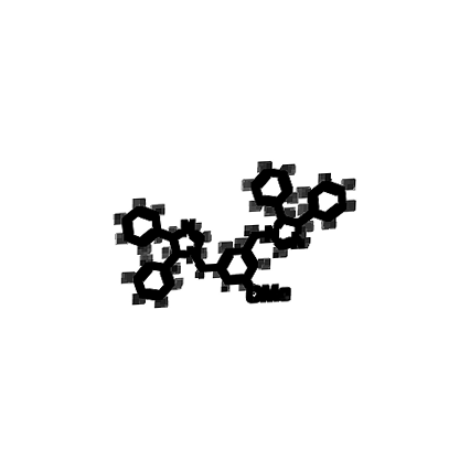 COc1cc(CN2C=NC(c3ccccc3)C2c2ccccc2)cc(CN2C=NC(c3ccccc3)C2c2ccccc2)c1